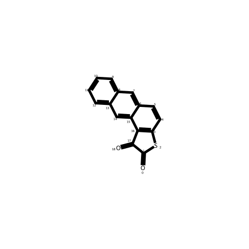 O=C1Sc2ccc3cc4ccccc4cc3c2C1=O